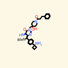 CN/C(=C1/N=CN(CC2(O)CCN(C(=O)CCc3ccccc3)CC2)C(=O)C1=N)c1ccc(C2(N)CCC2)cc1